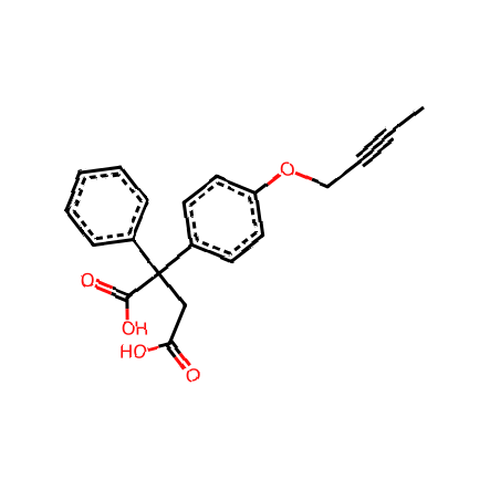 CC#CCOc1ccc(C(CC(=O)O)(C(=O)O)c2ccccc2)cc1